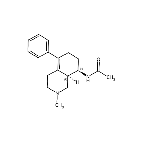 CC(=O)N[C@@H]1CCC(c2ccccc2)=C2CCN(C)C[C@@H]21